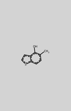 Cc1ccc2sccc2c1O